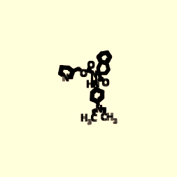 CCN(CC)c1ccc(NC(=O)C2(NC(=O)OCc3cccnc3)CCc3ccccc3C2)cc1